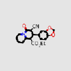 CCOC(=O)c1c(-c2ccc3c(c2)OCO3)c(C#N)c(=O)n2ccccc12